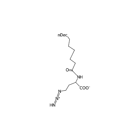 CCCCCCCCCCCCCCCC(=O)NC(CCN=[N+]=N)C(=O)[O-]